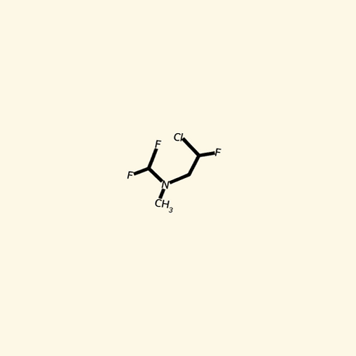 CN(CC(F)Cl)C(F)F